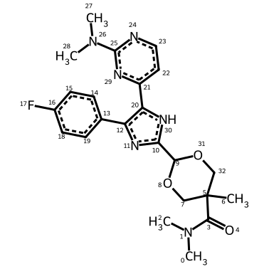 CN(C)C(=O)C1(C)COC(c2nc(-c3ccc(F)cc3)c(-c3ccnc(N(C)C)n3)[nH]2)OC1